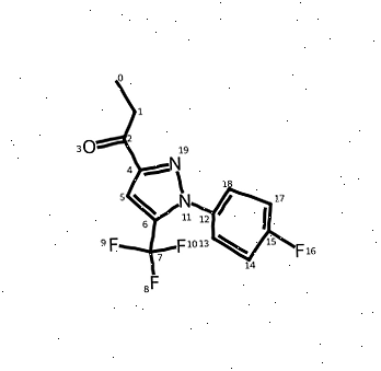 CCC(=O)c1cc(C(F)(F)F)n(-c2ccc(F)cc2)n1